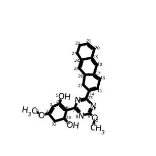 COC1=CC(O)=C(c2nc(OC)nc(C3=CC=C4C=C5C=CCCC5=CC4C3)n2)C(O)C1